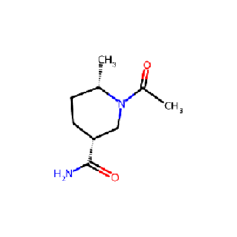 CC(=O)N1C[C@H](C(N)=O)CC[C@@H]1C